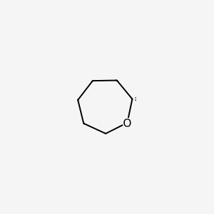 [C]1CCCCCO1